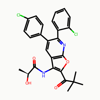 C[C@H](O)C(=O)Nc1c(C(=O)C(C)(C)C)oc2nc(-c3ccccc3Cl)c(-c3ccc(Cl)cc3)cc12